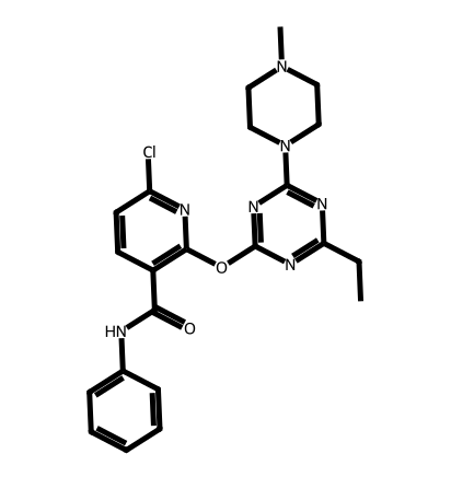 CCc1nc(Oc2nc(Cl)ccc2C(=O)Nc2ccccc2)nc(N2CCN(C)CC2)n1